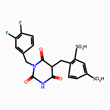 O=C1NC(=O)N(Cc2ccc(F)c(F)c2)C(=O)C1Cc1ccc(S(=O)(=O)O)cc1S(=O)(=O)O